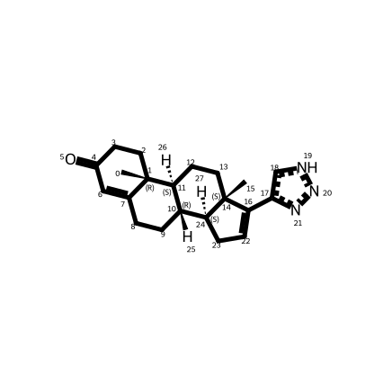 C[C@]12CCC(=O)C=C1CC[C@@H]1[C@@H]2CC[C@]2(C)C(c3c[nH]nn3)=CC[C@@H]12